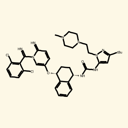 CN1CCN(CCn2nc(C(C)(C)C)cc2NC(=O)N[C@H]2CC[C@@H](Oc3ccc(=N)n(C(=N)c4c(Cl)cccc4Cl)c3)c3ccccc32)CC1